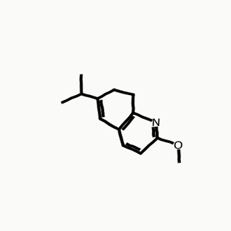 COc1ccc2c(n1)CCC(C(C)C)=C2